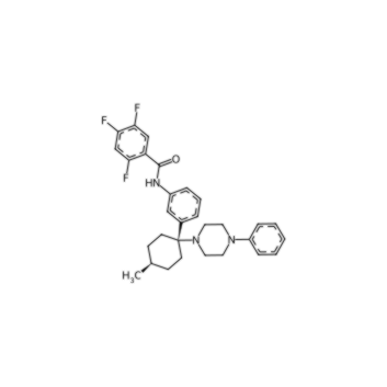 C[C@H]1CC[C@](c2cccc(NC(=O)c3cc(F)c(F)cc3F)c2)(N2CCN(c3ccccc3)CC2)CC1